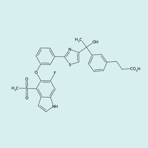 CC(O)(c1cccc(CCC(=O)O)c1)c1csc(-c2cccc(Oc3c(F)cc4[nH]ccc4c3S(C)(=O)=O)c2)n1